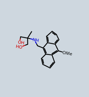 COc1c2ccccc2c(CNC(C)(CO)CO)c2ccccc12